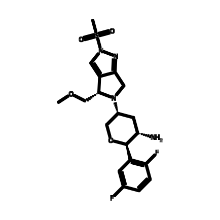 COC[C@@H]1c2cn(S(C)(=O)=O)nc2CN1[C@H]1CO[C@H](c2cc(F)ccc2F)[C@@H](N)C1